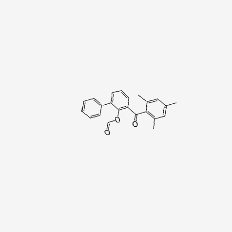 Cc1cc(C)c(C(=O)c2cccc(-c3ccccc3)c2OC=O)c(C)c1